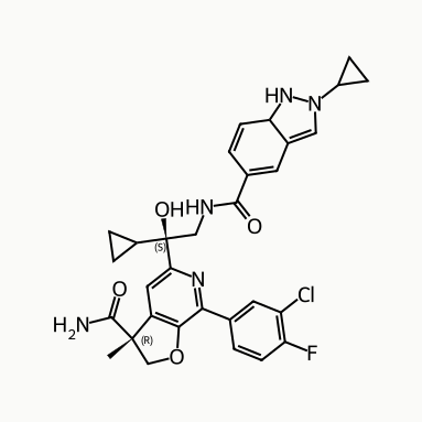 C[C@]1(C(N)=O)COc2c1cc([C@@](O)(CNC(=O)C1=CC3=CN(C4CC4)NC3C=C1)C1CC1)nc2-c1ccc(F)c(Cl)c1